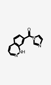 O=C(c1ccc2c(c1)NN=CC=C2)n1ccnc1